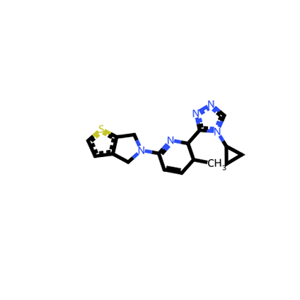 CC1C=CC(N2Cc3ccsc3C2)=NC1c1nncn1C1CC1